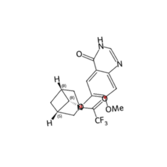 COc1cc2nc[nH]c(=O)c2cc1O[C@H]1[C@@H]2C[C@H]1CN(C(=O)C(F)(F)F)C2